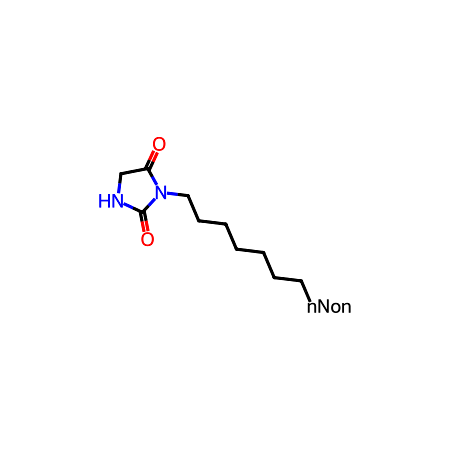 CCCCCCCCCCCCCCCCN1C(=O)CNC1=O